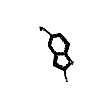 CC(C)c1ccc2sc(I)cc2c1